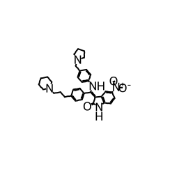 O=C1Nc2ccc([N+](=O)[O-])cc2C1=C(Nc1ccc(CN2CCCC2)cc1)c1ccc(CCCN2CCCCC2)cc1